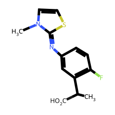 CC(C(=O)O)c1cc(/N=c2\sccn2C)ccc1F